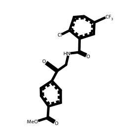 COC(=O)c1ccc(C(=O)CNC(=O)c2cc(C(F)(F)F)ccc2Cl)cc1